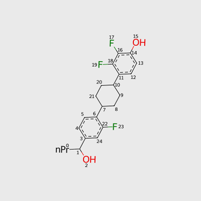 CCCC(O)c1ccc(C2CCC(c3ccc(O)c(F)c3F)CC2)c(F)c1